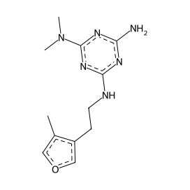 Cc1cocc1CCNc1nc(N)nc(N(C)C)n1